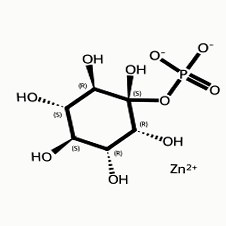 O=P([O-])([O-])O[C@]1(O)[C@H](O)[C@H](O)[C@@H](O)[C@H](O)[C@H]1O.[Zn+2]